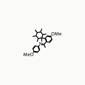 COc1ccc(/N=C(\C)c2ccc(OC)cc2C2(C)C(C)C(C)C(C)C(C)C2C)cc1